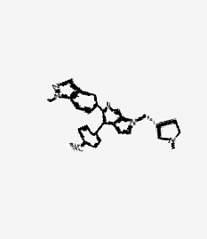 CN1CC[C@@H](Cn2ccc3c(-c4ccc(C#N)cc4)c(-c4ccc5c(cnn5C)c4)ncc32)C1